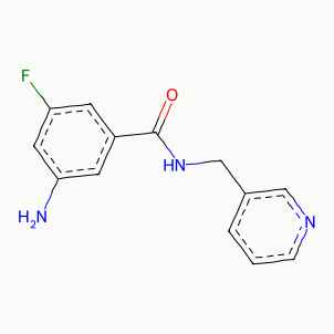 Nc1cc(F)cc(C(=O)NCc2cccnc2)c1